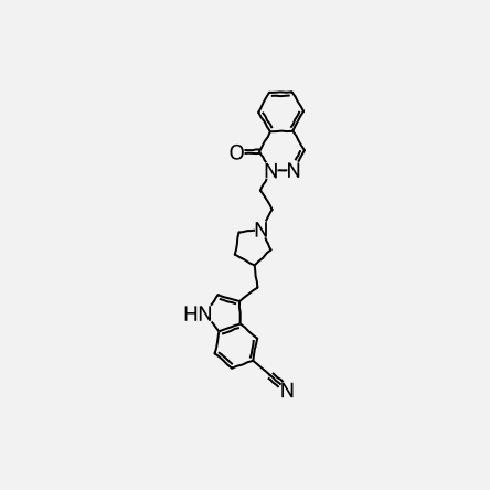 N#Cc1ccc2[nH]cc(CC3CCN(CCn4ncc5ccccc5c4=O)C3)c2c1